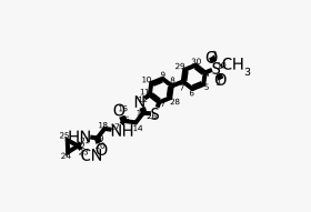 CS(=O)(=O)c1ccc(-c2ccc3nc(CC(=O)NCC(=O)NC4(C#N)CC4)sc3c2)cc1